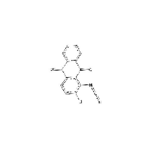 O=C=Nc1c(Cl)ccc2c1C(=O)c1ccccc1C2=O